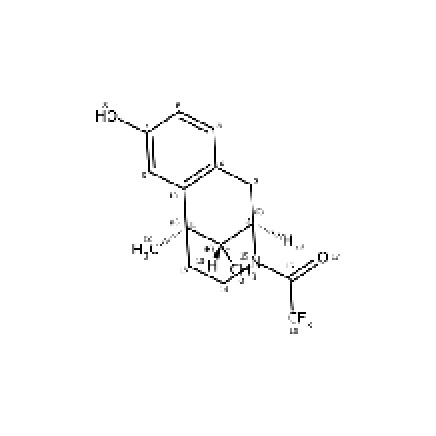 C[C@H]1[C@H]2Cc3ccc(O)cc3[C@]1(C)CCN2C(=O)C(F)(F)F